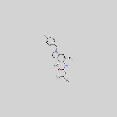 C=C(C)CC(=O)Nc1c(C)cc2c(c1C)CCN2Cc1ccc(F)cc1